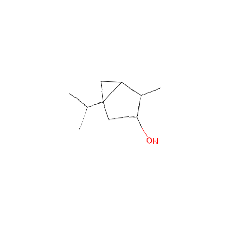 CC1C(O)CC2(C(C)C)CC12